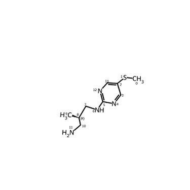 CSc1cnc(NC[C@H](C)CN)nc1